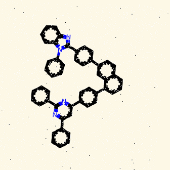 c1ccc(-c2cc(-c3ccc(-c4cccc5ccc(-c6ccc(-c7nc8ccccc8n7-c7ccccc7)cc6)cc45)cc3)nc(-c3ccccc3)n2)cc1